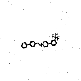 FC(F)(F)c1cccc(C2=CCN(CCc3ccc(-c4ccccc4)cc3)CC2)c1